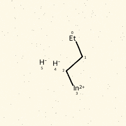 CCC[CH2][In+2].[H-].[H-]